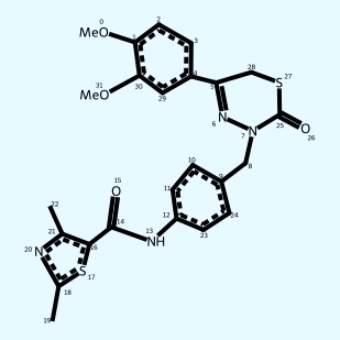 COc1ccc(C2=NN(Cc3ccc(NC(=O)c4sc(C)nc4C)cc3)C(=O)SC2)cc1OC